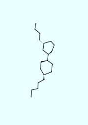 CCCCC[C@H]1CC[C@@H]([C@@H]2CCC[C@@H](CCCC)C2)CC1